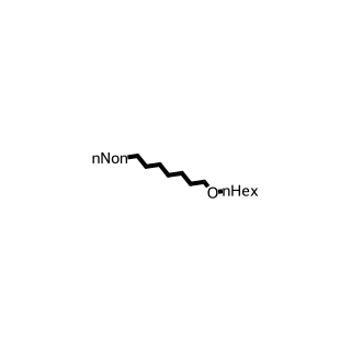 CCCCCCCCCCCCCCCCOCCCCCC